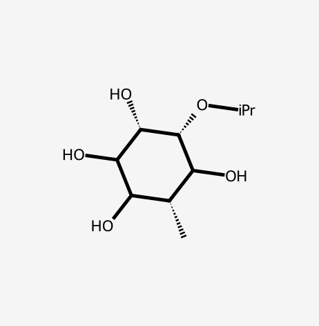 CC(C)O[C@@H]1C(O)[C@H](C)C(O)C(O)[C@@H]1O